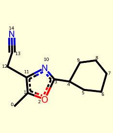 Cc1oc(C2CCCCC2)nc1CC#N